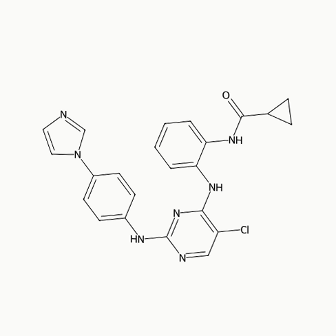 O=C(Nc1ccccc1Nc1nc(Nc2ccc(-n3ccnc3)cc2)ncc1Cl)C1CC1